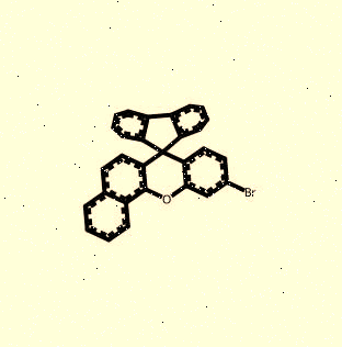 Brc1ccc2c(c1)Oc1c(ccc3ccccc13)C21c2ccccc2-c2ccccc21